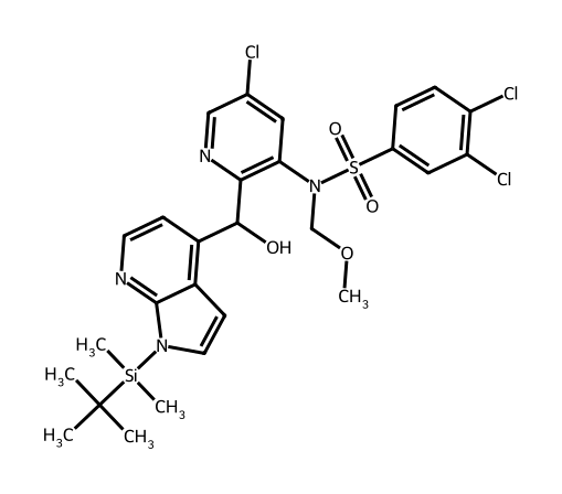 COCN(c1cc(Cl)cnc1C(O)c1ccnc2c1ccn2[Si](C)(C)C(C)(C)C)S(=O)(=O)c1ccc(Cl)c(Cl)c1